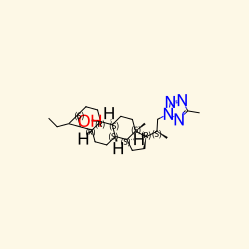 CCC1C2[C@H]3CC[C@@H]4[C@H](CC[C@]5(C)[C@@H]([C@H](C)Cn6nnc(C)n6)CC[C@@H]45)[C@@]3(C)CC[C@]12O